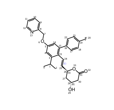 CC(C)c1cc(OCc2ccccn2)cc(-c2ccc(F)cc2)c1/C=C/[C@@H]1C[C@@H](O)CC(=O)O1